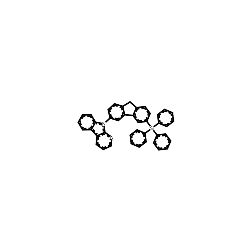 c1ccc([Si](c2ccccc2)(c2ccccc2)c2ccc3c(c2)-c2cc(-n4c5ccccc5c5cccnc54)ccc2C3)cc1